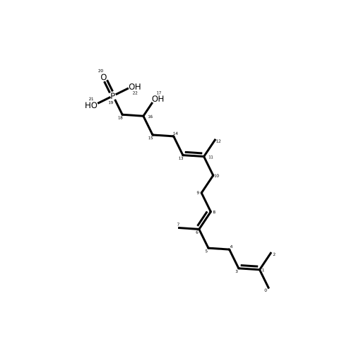 CC(C)=CCCC(C)=CCCC(C)=CCCC(O)CP(=O)(O)O